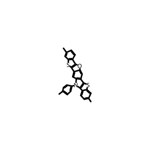 Cc1ccc(-n2c3cc4c(cc3c3sc5cc(C)ccc5c32)oc2c3ccc(C)cc3sc42)cc1